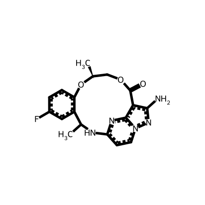 CC1Nc2ccn3nc(N)c(c3n2)C(=O)OC[C@H](C)Oc2ccc(F)cc21